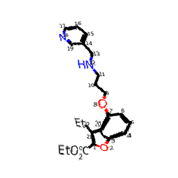 CCOC(=O)c1oc2cccc(OCCCNCc3cccnc3)c2c1CC